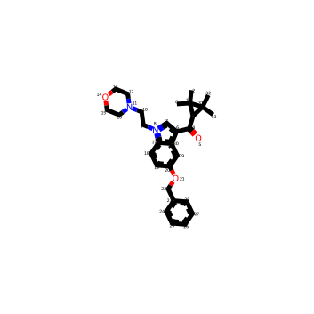 CC1(C)C(C(=O)c2cn(CCN3CCOCC3)c3ccc(OCc4ccccc4)cc23)C1(C)C